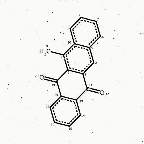 Cc1c2c(cc3ccccc13)C(=O)c1ccccc1C2=O